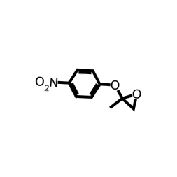 CC1(Oc2ccc([N+](=O)[O-])cc2)CO1